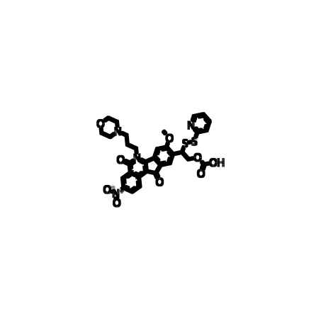 COc1cc2c(cc1C(COC(=O)O)SSc1ccccn1)C(=O)c1c-2n(CCCN2CCOCC2)c(=O)c2cc([N+](=O)[O-])ccc12